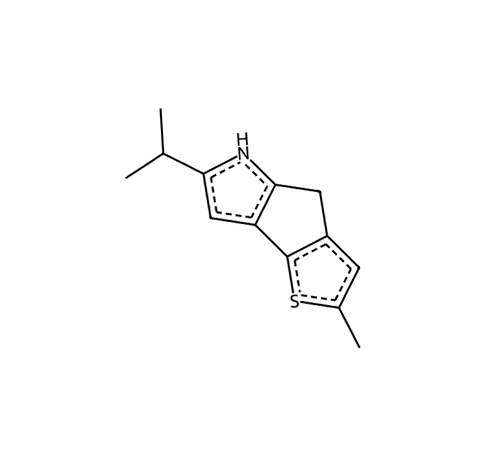 Cc1cc2c(s1)-c1cc(C(C)C)[nH]c1C2